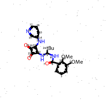 COc1cccc(C(=O)NC(Nc2c(Nc3cccnc3)c(=O)c2=O)C(C)(C)C)c1OC